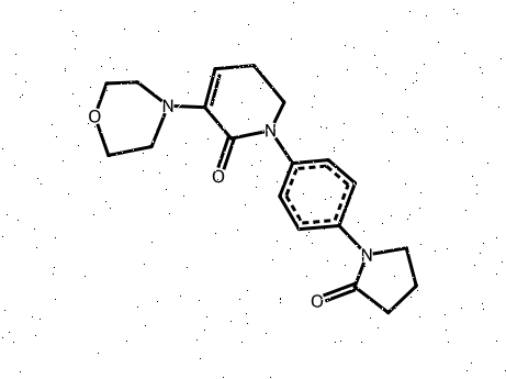 O=C1CCCN1c1ccc(N2CCC=C(N3CCOCC3)C2=O)cc1